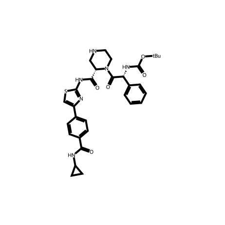 CC(C)(C)OC(=O)N[C@@H](C(=O)N1CCNC[C@H]1C(=O)Nc1nc(-c2ccc(C(=O)NC3CC3)cc2)cs1)c1ccccc1